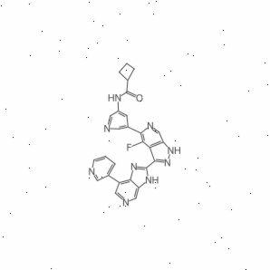 O=C(Nc1cncc(-c2ncc3[nH]nc(-c4nc5c(-c6cccnc6)cncc5[nH]4)c3c2F)c1)C1CCC1